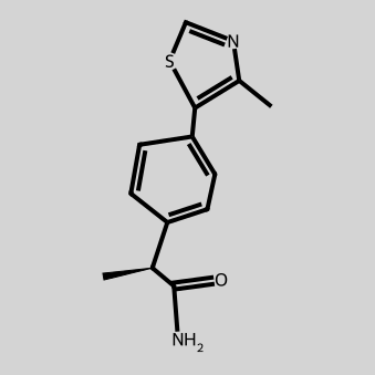 Cc1ncsc1-c1ccc([C@H](C)C(N)=O)cc1